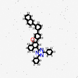 c1ccc(-c2nc(-c3ccccc3)nc(-c3cc4c5ccc(-c6cccc(-c7ccc8ccccc8c7)c6)cc5oc4c4ccccc34)n2)cc1